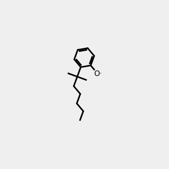 CCCCCC(C)(C)c1ccccc1[O]